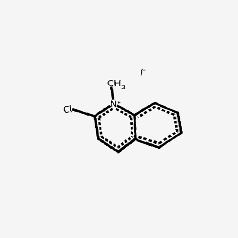 C[n+]1c(Cl)ccc2ccccc21.[I-]